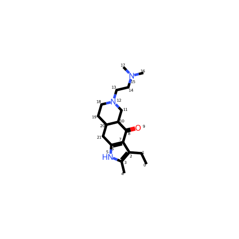 CCc1c(C)[nH]c2c1C(=O)C1CN(CCN(C)C)CCC1C2